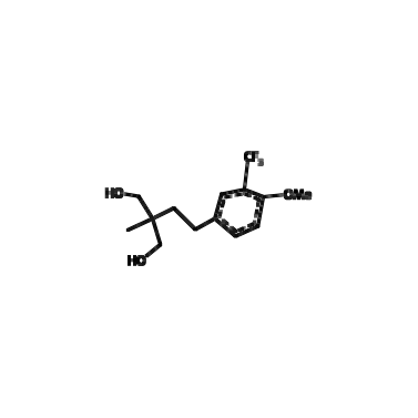 COc1ccc(CCC(C)(CO)CO)cc1C(F)(F)F